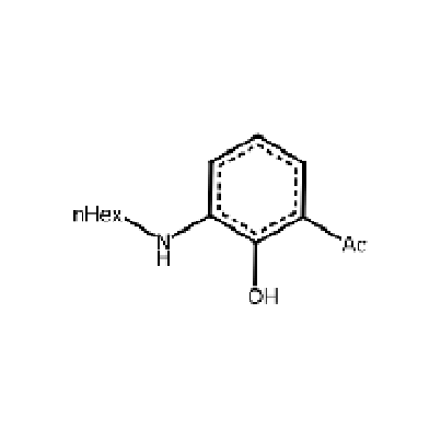 CCCCCCNc1cccc(C(C)=O)c1O